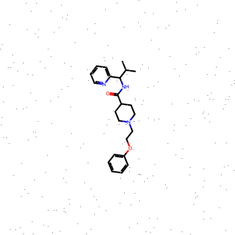 CC(C)C(NC(=O)C1CCN(CCOc2ccccc2)CC1)c1ccccn1